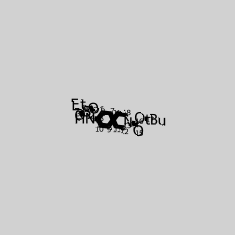 CCS(=O)(=O)NC1CCC2(CC1)CCN(C(=O)OC(C)(C)C)CC2